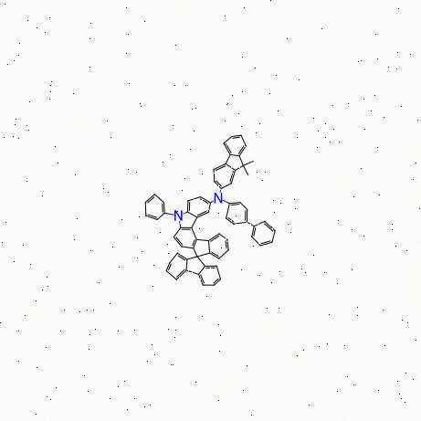 CC1(C)c2ccccc2-c2ccc(N(c3ccc(-c4ccccc4)cc3)c3ccc4c(c3)c3c5c(ccc3n4-c3ccccc3)C3(c4ccccc4-c4ccccc43)c3ccccc3-5)cc21